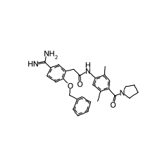 Cc1cc(C(=O)N2CCCC2)c(C)cc1NC(=O)Cc1cc(C(=N)N)ccc1OCc1ccccc1